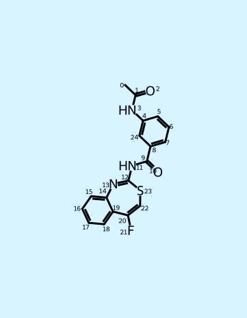 CC(=O)Nc1cccc(C(=O)NC2=Nc3ccccc3C(F)=CS2)c1